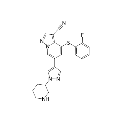 N#Cc1cnn2cc(-c3cnn(C4CCCNC4)c3)cc(Sc3ccccc3F)c12